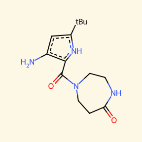 CC(C)(C)c1cc(N)c(C(=O)N2CCNC(=O)CC2)[nH]1